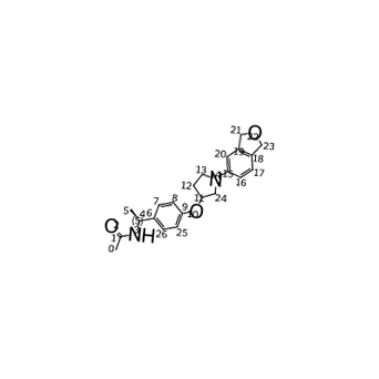 CC(=O)N[C@@H](C)c1ccc(OC2CCN(c3ccc4c(c3)COC4)C2)cc1